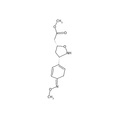 CON=C1C=CC([C@@H]2C[C@H](CC(=O)OC)ON2)=CC1